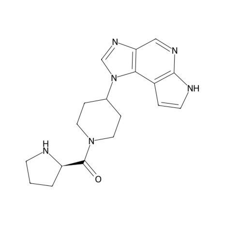 O=C([C@H]1CCCN1)N1CCC(n2cnc3cnc4[nH]ccc4c32)CC1